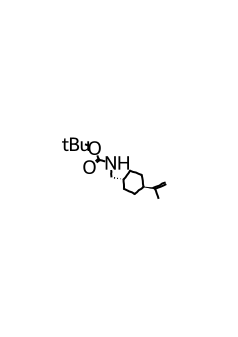 C=C(C)[C@H]1CC[C@H](CNC(=O)OC(C)(C)C)CC1